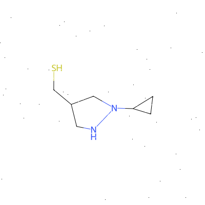 SCC1CNN(C2CC2)C1